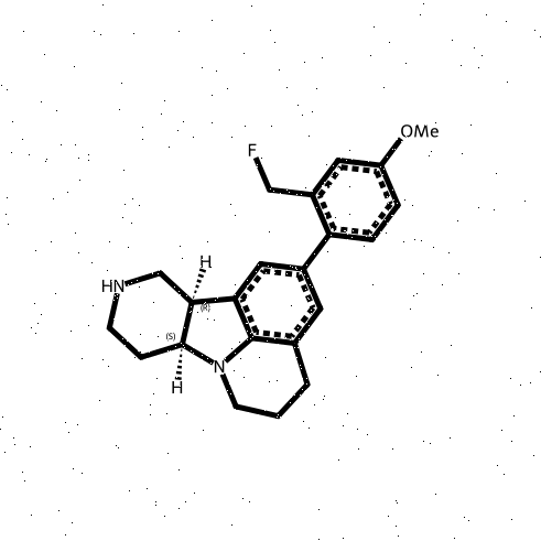 COc1ccc(-c2cc3c4c(c2)[C@@H]2CNCC[C@@H]2N4CCC3)c(CF)c1